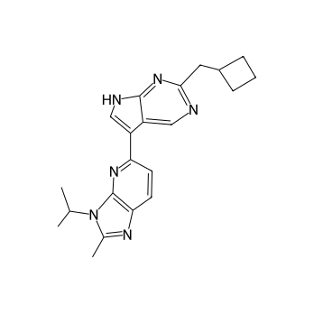 Cc1nc2ccc(-c3c[nH]c4nc(CC5CCC5)ncc34)nc2n1C(C)C